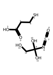 O=C(O)CCS.O=C=NC(O)(O)CO